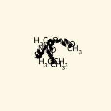 CC(=O)N1CCN(CCOc2cc(C)c3nc(-c4cc5ccsc5cn4)n(COCC[Si](C)(C)C)c(=O)c3c2)CC1